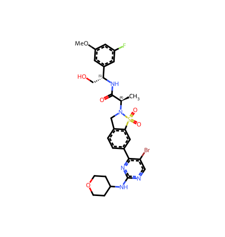 COc1cc(F)cc([C@@H](CO)NC(=O)[C@@H](C)N2Cc3ccc(-c4nc(NC5CCOCC5)ncc4Br)cc3S2(=O)=O)c1